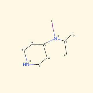 CC(C)N(I)C1CCNCC1